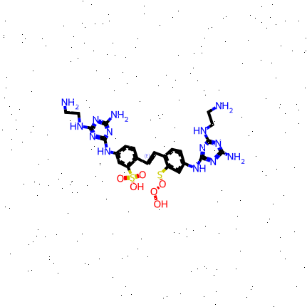 NCCNc1nc(N)nc(Nc2ccc(/C=C/c3ccc(Nc4nc(N)nc(NCCN)n4)cc3S(=O)(=O)O)c(SOOO)c2)n1